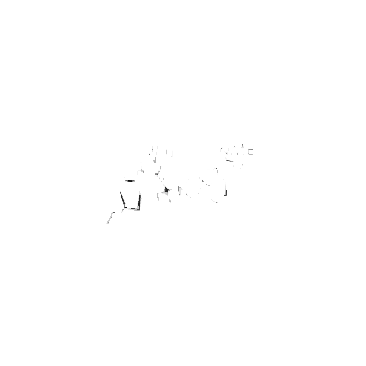 CNC(=O)[C@H]1CC2(CCN(C(=O)[C@@H]3CN(C(C)(C)C)C[C@H]3c3ccc(F)cc3F)CC2)C2CCCCC21